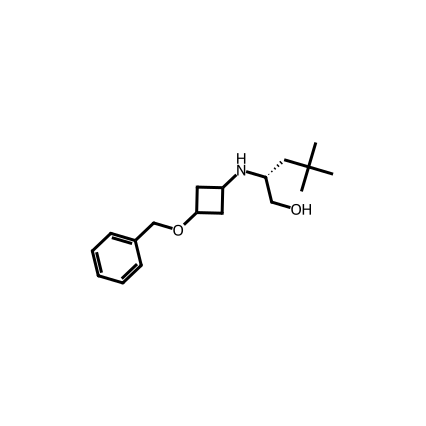 CC(C)(C)C[C@H](CO)NC1CC(OCc2ccccc2)C1